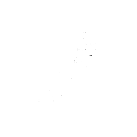 CCC[C@H](NC(=O)OC(C)(C)C)C(=O)Nc1ccc(-c2ccc(OC(F)(F)F)cc2)cc1